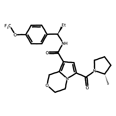 CC[C@@H](NC(=O)c1cc(C(=O)N2CCC[C@@H]2C)n2c1COCC2)c1ccc(OC(F)(F)F)cc1